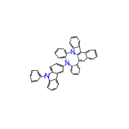 c1ccc(-n2c3ccccc3c3cc(-n4c5ccccc5c5cc6ccccc6c6c7ccccc7n(c7ccccc74)c56)ccc32)cc1